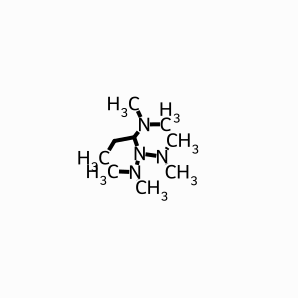 CCC(N(C)C)N(N(C)C)N(C)C